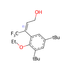 CCOc1c(/C(=C\CO)C(F)(F)F)cc(C(C)(C)C)cc1C(C)(C)C